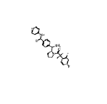 CC(C)(C(=O)N1CCCC1C(N)c1ccc(C(=O)Nc2ccncc2)cc1)c1ccc(F)cc1F